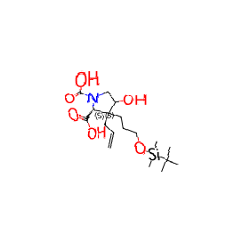 C=CC[C@]1(CCCO[Si](C)(C)C(C)(C)C)C(O)CN(C(=O)O)[C@@H]1C(=O)O